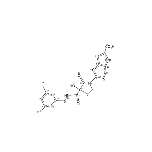 O=C(O)c1cc2cc(N3CCC(O)(C(=O)NCc4cc(F)cc(F)c4)C3=O)ccc2[nH]1